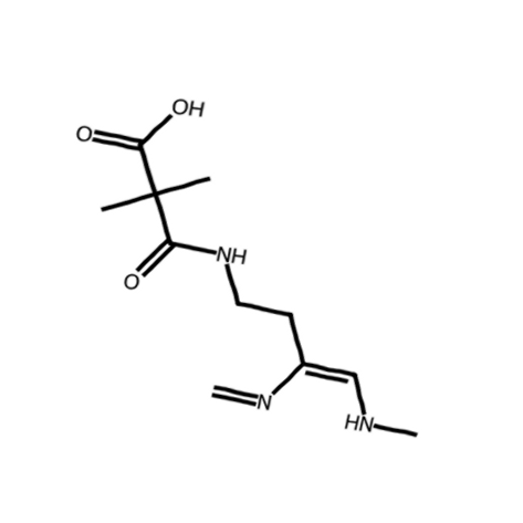 C=N/C(=C\NC)CCNC(=O)C(C)(C)C(=O)O